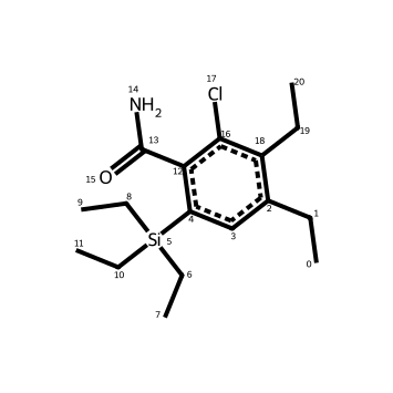 CCc1cc([Si](CC)(CC)CC)c(C(N)=O)c(Cl)c1CC